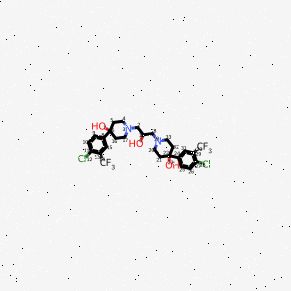 OC(CN1CCC(O)(c2ccc(Cl)c(C(F)(F)F)c2)CC1)CN1CCC(O)(c2ccc(Cl)c(C(F)(F)F)c2)CC1